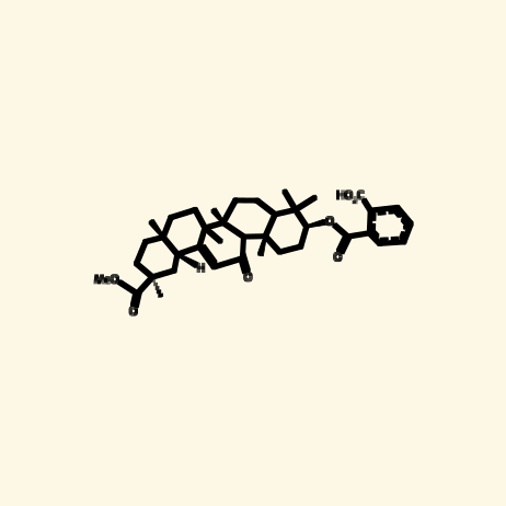 COC(=O)[C@@]1(C)CC[C@]2(C)CCC3(C)C(=CC(=O)C4[C@@]5(C)CC[C@H](OC(=O)c6ccccc6C(=O)O)C(C)(C)C5CC[C@]43C)[C@@H]2C1